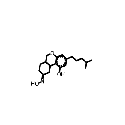 CC(C)CCCc1cc(O)c2c(c1)OCC1CC/C(=N\O)CC21